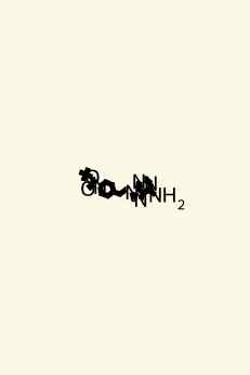 CC(C)(C)OC(=O)N1CCC(CCn2cnc3c(N)ncnc32)CC1